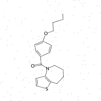 CCCCOc1ccc(C(=O)N2CCCCc3sccc32)cc1